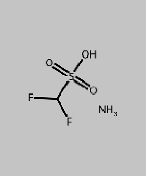 N.O=S(=O)(O)C(F)F